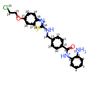 Nc1ccccc1NC(=O)c1ccc(CNc2nc3ccc(OCCCl)cc3s2)cc1